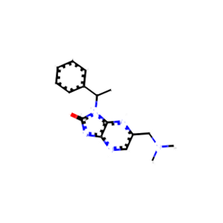 CC(c1ccccc1)n1c(=O)[nH]c2ncc(CN(C)C)nc21